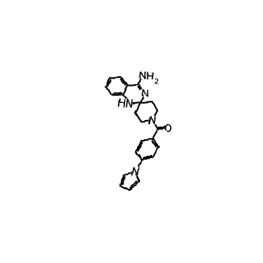 NC1=NC2(CCN(C(=O)c3ccc(-n4cccc4)cc3)CC2)Nc2ccccc21